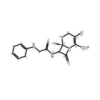 O=C(CNC1=CCC=CC1)NC1C(=O)N2C(C(=O)O)=C(Cl)CS[C@@H]12